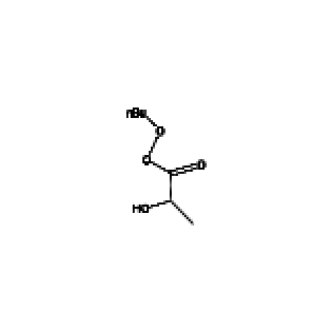 CCCCOOC(=O)C(C)O